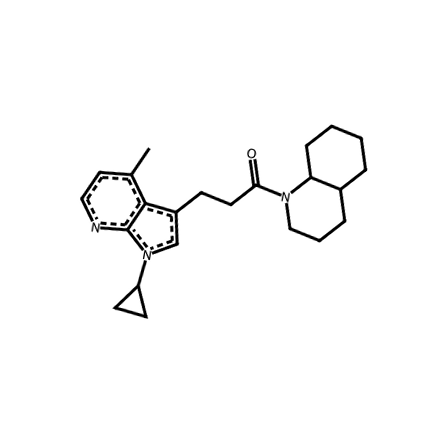 Cc1ccnc2c1c(CCC(=O)N1CCCC3CCCCC31)cn2C1CC1